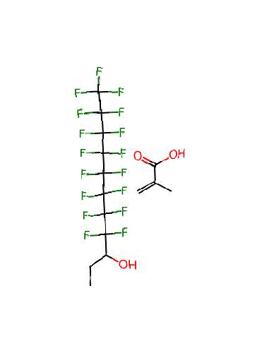 C=C(C)C(=O)O.CCC(O)C(F)(F)C(F)(F)C(F)(F)C(F)(F)C(F)(F)C(F)(F)C(F)(F)C(F)(F)F